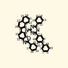 c1ccc(-c2ccc(-c3nc(-c4ccccc4)nc(-n4c5c6ccccc6ccc5c5ccc6nc(-c7ccccc7)oc6c54)n3)cc2)cc1